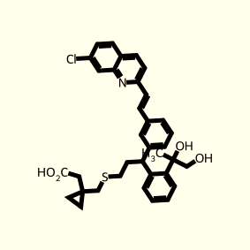 CC(O)(CO)c1ccccc1C(CCSCC1(CC(=O)O)CC1)c1cccc(C=Cc2ccc3ccc(Cl)cc3n2)c1